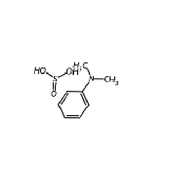 CN(C)c1ccccc1.O=S(O)O